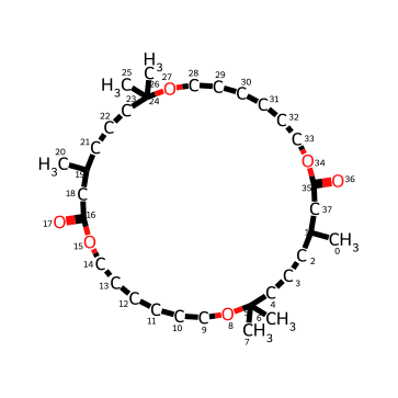 CC1CCCC(C)(C)OCCCCCCOC(=O)CC(C)CCCC(C)(C)OCCCCCCOC(=O)C1